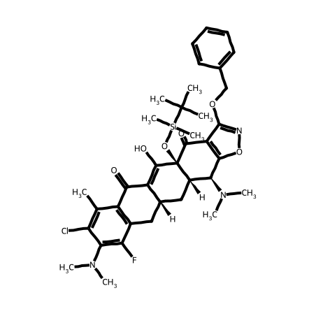 Cc1c(Cl)c(N(C)C)c(F)c2c1C(=O)C1=C(O)[C@]3(O[Si](C)(C)C(C)(C)C)C(=O)c4c(OCc5ccccc5)noc4[C@@H](N(C)C)[C@@H]3C[C@@H]1C2